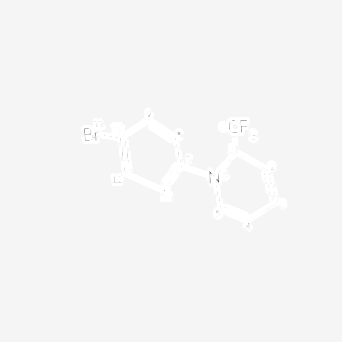 FC(F)(F)C1C=CC=CN1c1ccc(Br)cc1